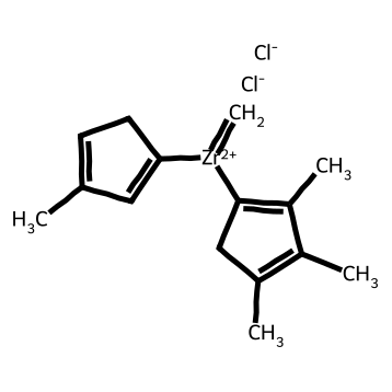 [CH2]=[Zr+2]([C]1=CC(C)=CC1)[C]1=C(C)C(C)=C(C)C1.[Cl-].[Cl-]